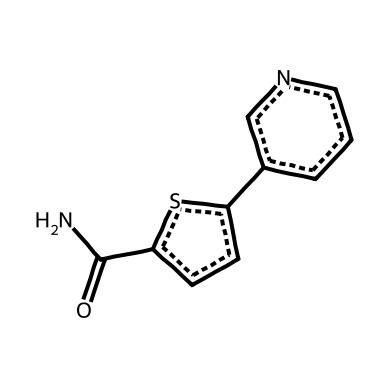 NC(=O)c1ccc(-c2cccnc2)s1